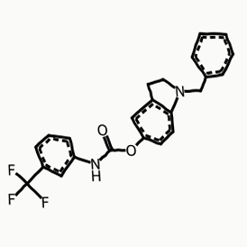 O=C(Nc1cccc(C(F)(F)F)c1)Oc1ccc2c(c1)CCN2Cc1ccccc1